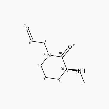 CN[C@H]1CCCN(CC=O)C1=O